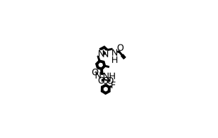 C#CC(=O)NCc1ccn(Cc2cc(C)c3c(NS(=O)(=O)c4ccccc4F)noc3c2)n1